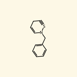 C1#SN(Cc2ccccc2)C=CC1